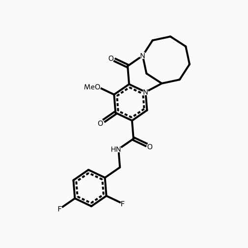 COc1c2n(cc(C(=O)NCc3ccc(F)cc3F)c1=O)C1CCCCCN(C1)C2=O